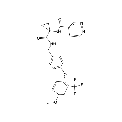 COc1ccc(Oc2ccc(CNC(=O)C3(NC(=O)c4ccnnc4)CC3)nc2)c(C(F)(F)F)c1